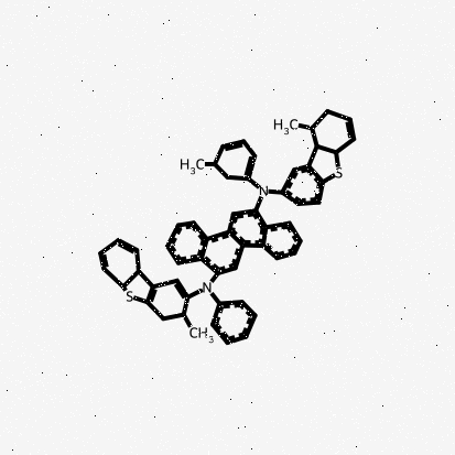 CC1C=CC=C(N(c2ccc3c(c2)C2C(C)CC=CC2S3)c2cc3c4ccccc4c(N(C4=CC5=C(CC4C)SC4C=CC=CC54)c4ccccc4)cc3c3ccccc23)C1